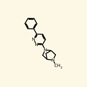 CN1CC2CC1CN2c1ccc(-c2ccccc2)nn1